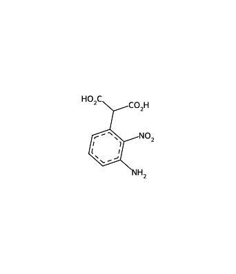 Nc1cccc(C(C(=O)O)C(=O)O)c1[N+](=O)[O-]